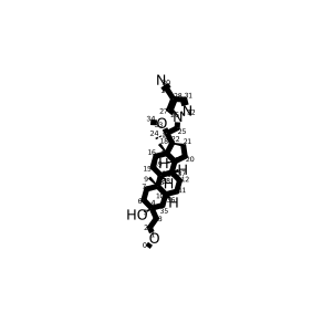 COCC[C@@]1(O)CC[C@@]2(C)[C@H](CC[C@@H]3[C@@H]2CC[C@@]2(C)[C@H]3CC[C@@H]2[C@](C)(Cn2cc(C#N)cn2)OC)C1